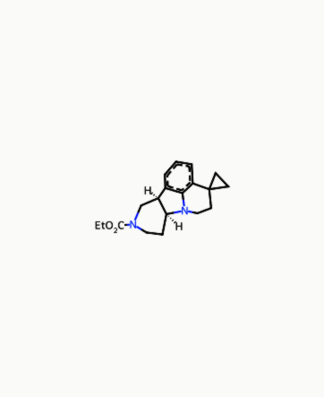 CCOC(=O)N1CC[C@H]2[C@@H](C1)c1cccc3c1N2CCC31CC1